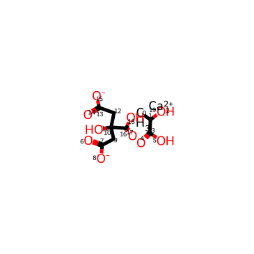 CC(O)C(=O)O.O=C([O-])CC(O)(CC(=O)[O-])C(=O)O.[Ca+2]